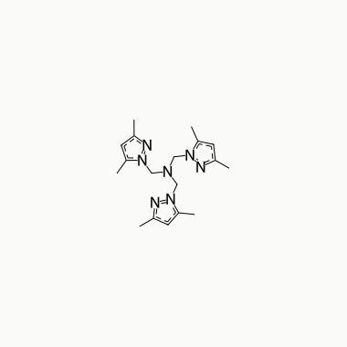 Cc1cc(C)n(CN(Cn2nc(C)cc2C)Cn2nc(C)cc2C)n1